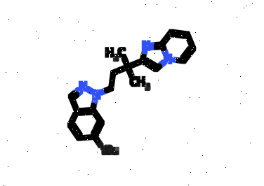 CC(C)(C)c1ccc2cnn(CCC(C)(C)c3cn4ccccc4n3)c2c1